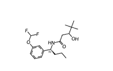 CCC[C@H](NC(=O)CC(O)C(C)(C)C)c1cccc(OC(F)F)c1